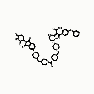 NC(=O)c1c(-c2ccc(Oc3ccccc3)cc2)nn2c1NCC[C@H]2C1CCN(CC2CCN(C(=O)N3CCC(CC4CCN(c5ccc6c(c5)C(=O)N(C5CCC(=O)NC5=O)C6=O)CC4)CC3)CC2)CC1